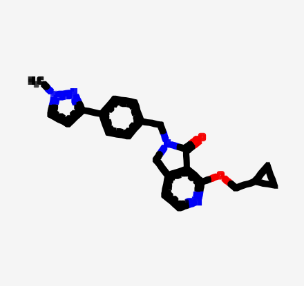 Cn1ccc(-c2ccc(CN3Cc4ccnc(OCC5CC5)c4C3=O)cc2)n1